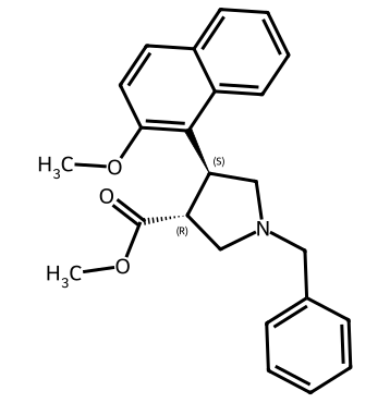 COC(=O)[C@H]1CN(Cc2ccccc2)C[C@@H]1c1c(OC)ccc2ccccc12